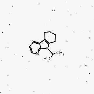 CC(C)n1c2c(c3cccnc31)CCCC2